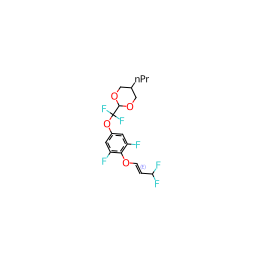 CCCC1COC(C(F)(F)Oc2cc(F)c(O/C=C/C(F)F)c(F)c2)OC1